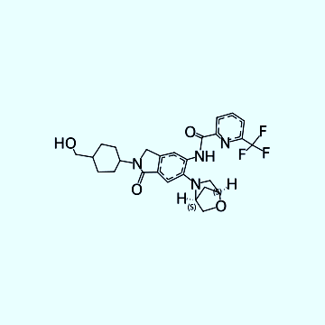 O=C(Nc1cc2c(cc1N1C[C@@H]3C[C@H]1CO3)C(=O)N(C1CCC(CO)CC1)C2)c1cccc(C(F)(F)F)n1